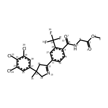 COC(=O)CNC(=O)c1ccc(C2=NCC(C)(c3cc(Cl)c(Cl)c(Cl)c3)C2)cc1C(F)(F)F